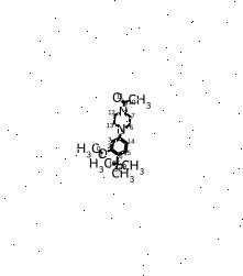 COc1cc(N2CCN(C(C)=O)CC2)ccc1C(C)(C)C